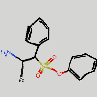 CC[C@@H](N)C(c1ccccc1)S(=O)(=O)Oc1ccccc1